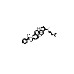 CC(C)CCC[C@@H](C)C1CC[C@H]2[C@@H]3CC=C4C[C@@H](OC(=O)c5ccccc5)CC[C@]4(C)[C@H]3CC[C@]12C